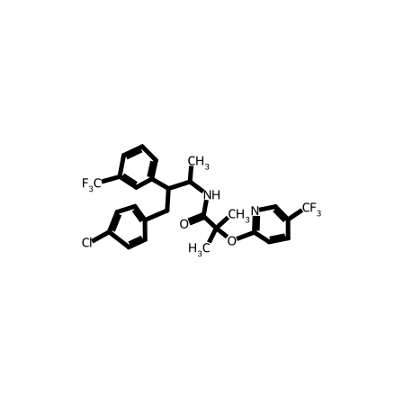 CC(NC(=O)C(C)(C)Oc1ccc(C(F)(F)F)cn1)C(Cc1ccc(Cl)cc1)c1cccc(C(F)(F)F)c1